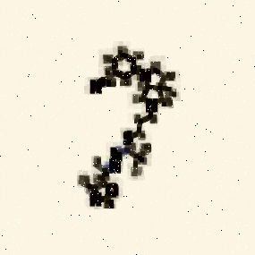 C/C(=N\N=C(\SCCCN1CC2N(c3cccc(C#N)c3)CCC2(C)C1)C(C)C)c1ocnc1C